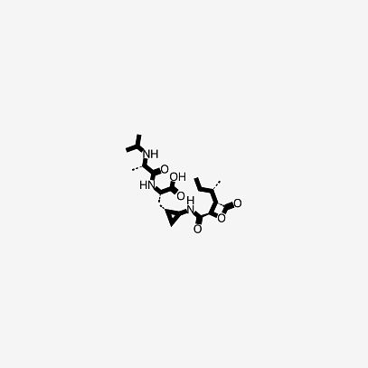 CC[C@H](C)[C@@H]1C(=O)O[C@H]1C(=O)NC1C[C@@H]1C[C@H](NC(=O)[C@H](C)NC(C)C)C(=O)O